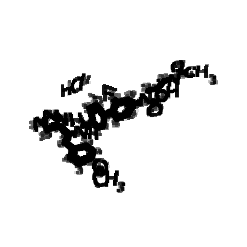 COc1ccc(CC(NCc2ccc(-c3ccc(N4CC(CNC(C)=O)OC4=O)cc3F)cc2)c2cnn[nH]2)cc1.Cl